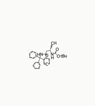 C#C[C@H](CC(=O)NC(c1ccccc1)(c1ccccc1)c1ccccc1)NC(=O)OC(C)(C)C